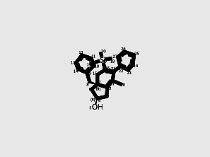 CC1=C2C[C@H](O)C[C@]2(Cc2ccccc2)CC([Si](C)(C)C)=C1c1ccccc1